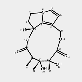 C[C@H]1C(=O)O[C@@H]2CCn3ccc(c32)COC(=O)[C@](C)(O)[C@]1(C)O